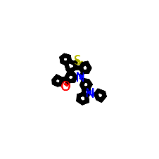 c1ccc(-n2c3ccccc3c3cc(N(c4ccc5c(c4)oc4ccccc45)c4cccc5sc6c7ccccc7ccc6c45)ccc32)cc1